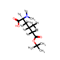 [2H]N(C)[C@]([2H])(C(=O)O)C([2H])([2H])C([2H])(C([2H])([2H])[2H])C([2H])([2H])C(=O)OC(C)(C)C